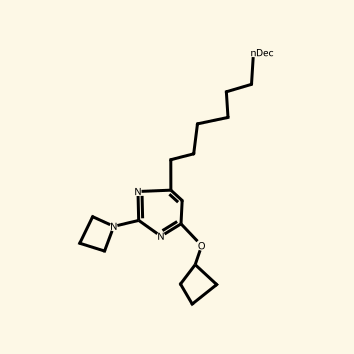 CCCCCCCCCCCCCCCCc1cc(OC2CCC2)nc(N2CCC2)n1